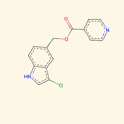 O=C(OCc1ccc2[nH]cc(Cl)c2c1)c1ccncc1